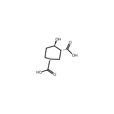 O=C(O)[C@@H]1CN(C(=O)O)CC[C@H]1O